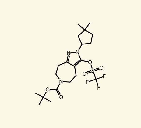 CC1(C)CCC(n2nc3c(c2OS(=O)(=O)C(F)(F)F)CCN(C(=O)OC(C)(C)C)CC3)C1